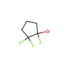 [O]C1(F)CCCC1(F)F